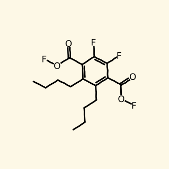 CCCCc1c(CCCC)c(C(=O)OF)c(F)c(F)c1C(=O)OF